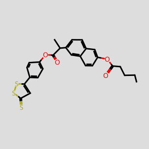 CCCCC(=O)Oc1ccc2cc(C(C)C(=O)Oc3ccc(-c4cc(=S)ss4)cc3)ccc2c1